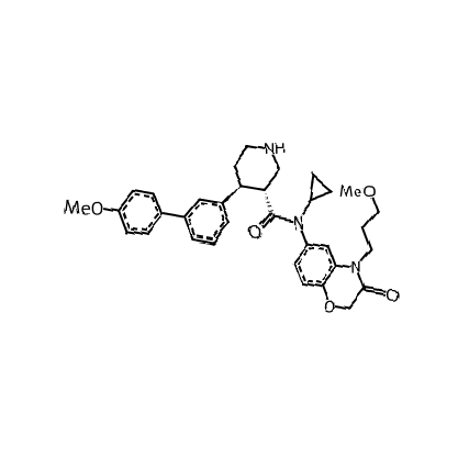 COCCCN1C(=O)COc2ccc(N(C(=O)[C@H]3CNCC[C@@H]3c3cccc(-c4ccc(OC)cc4)c3)C3CC3)cc21